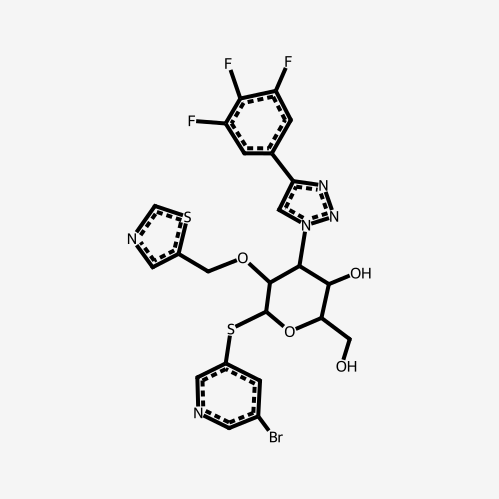 OCC1OC(Sc2cncc(Br)c2)C(OCc2cncs2)C(n2cc(-c3cc(F)c(F)c(F)c3)nn2)C1O